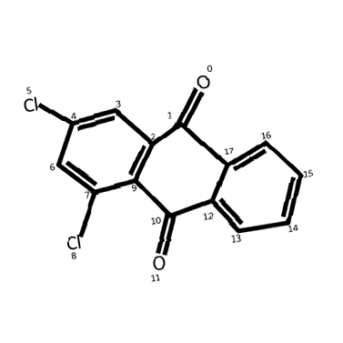 O=C1c2[c]c(Cl)cc(Cl)c2C(=O)c2ccccc21